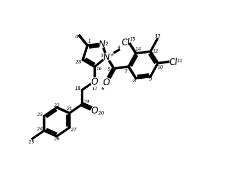 CC1=N[N+](C)(C(=O)c2ccc(Cl)c(C)c2Cl)C(OCC(=O)c2ccc(C)cc2)=C1